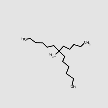 CCCCCC(C)(CCCCCO)CCCCCO